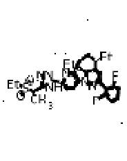 CC[C@H]1CC[C@](CC)(c2cccc(-c3nnc([C@@H](C)S(=O)(=O)CC)[nH]3)n2)c2nnc(-c3c(F)cccc3F)cc21